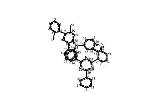 Cc1ccccc1-c1cc2c3ccccc3n(-c3ccc4oc5cccc(-c6nc(-c7ccccc7)nc(-c7ccccc7)n6)c5c4c3)c2cc1C